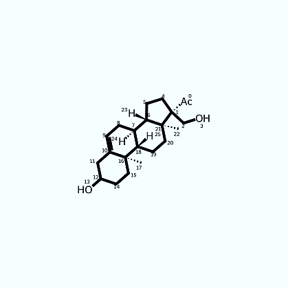 CC(=O)[C@@]1(CO)CC[C@H]2[C@@H]3CC=C4CC(O)CC[C@]4(C)[C@H]3CC[C@@]21C